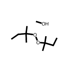 CCC(C)(C)OOC(C)(C)CC.CO